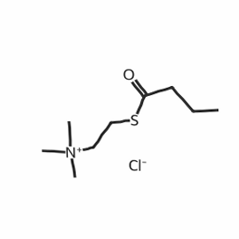 CCCC(=O)SCC[N+](C)(C)C.[Cl-]